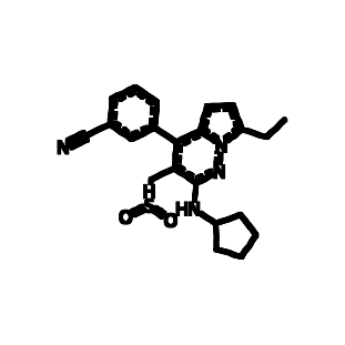 CCc1ccc2c(-c3cccc(C#N)c3)c(C[SH](=O)=O)c(NC3CCCC3)nn12